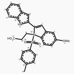 COc1ccc2c(c1)C=C(c1cc3cccnc3[nH]1)[N+]2(CCC(=O)O)S(=O)(=O)c1ccc(C)cc1